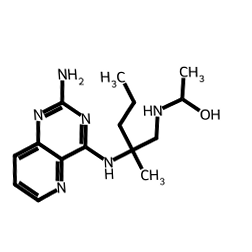 CCCC(C)(CNC(C)O)Nc1nc(N)nc2cccnc12